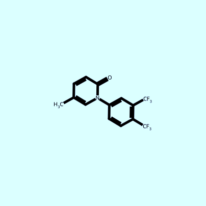 Cc1ccc(=O)n(-c2ccc(C(F)(F)F)c(C(F)(F)F)c2)c1